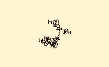 Cc1ccc(OC(=O)CON(C)C(=O)c2cc3c([n+](CCCS(=O)(=O)O)c2)N=C(/C=C/C=C/C=C2/N(CCCS(=O)(=O)O)c4ccc(S(=O)(=O)O)cc4C2(C)C)C3(C)C)cc1